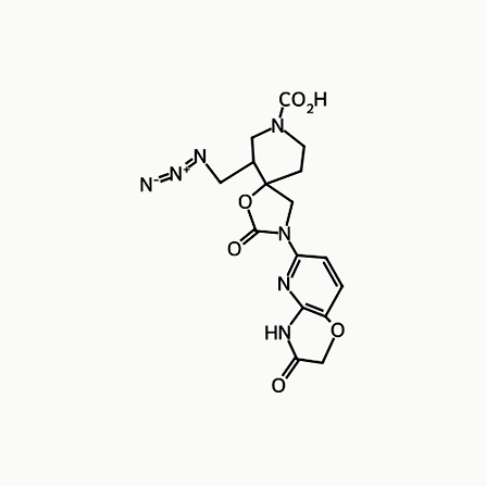 [N-]=[N+]=NCC1CN(C(=O)O)CCC12CN(c1ccc3c(n1)NC(=O)CO3)C(=O)O2